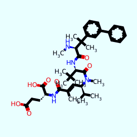 CN[C@H](C(=O)N[C@H](C(=O)N(C)[C@H](/C=C(\C)C(=O)N[C@H](CCC(=O)O)C(=O)O)C(C)C)C(C)(C)C)C(C)(C)c1cccc(-c2ccccc2)c1